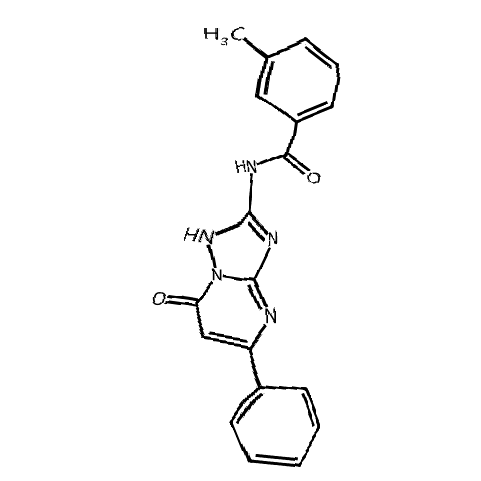 Cc1cccc(C(=O)Nc2nc3nc(-c4ccccc4)cc(=O)n3[nH]2)c1